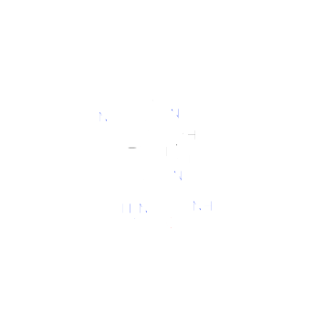 [2H]C([2H])([2H])c1ncccc1-c1c(C#N)ccc2c(N)c(C(=O)NCCC)ncc12